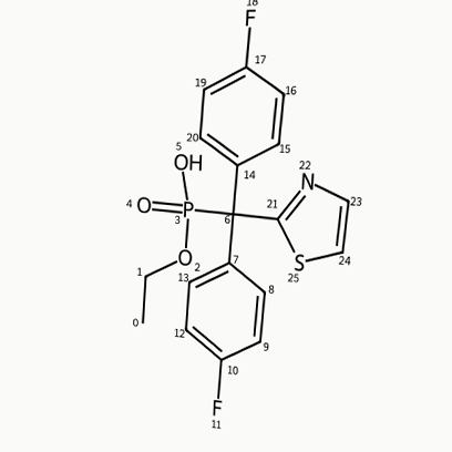 CCOP(=O)(O)C(c1ccc(F)cc1)(c1ccc(F)cc1)c1nccs1